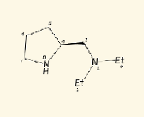 CCN(CC)C[C@@H]1CCCN1